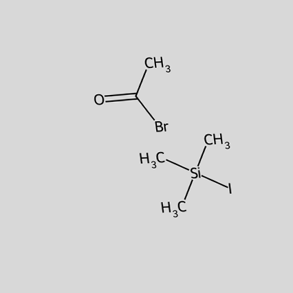 CC(=O)Br.C[Si](C)(C)I